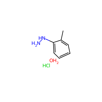 Cc1ccccc1NN.Cl.O